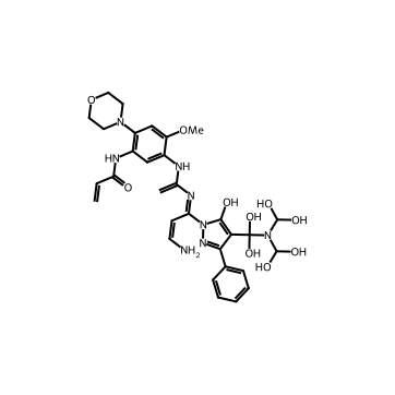 C=CC(=O)Nc1cc(NC(=C)/N=C(\C=C/N)n2nc(-c3ccccc3)c(C(O)(O)N(C(O)O)C(O)O)c2O)c(OC)cc1N1CCOCC1